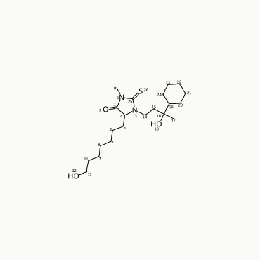 CN1C(=O)C(CCCCCCCO)N(CCC(C)(O)C2CCCCC2)C1=S